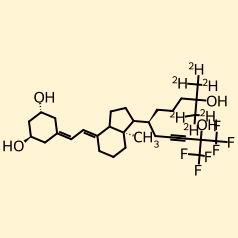 [2H]C([2H])([2H])C(O)(CCC[C@@H](CC#CC(O)(C(F)(F)F)C(F)(F)F)C1CCC2/C(=C/C=C3C[C@@H](O)C[C@H](O)C3)CCC[C@@]21C)C([2H])([2H])[2H]